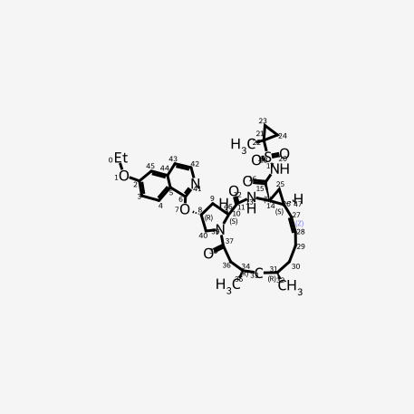 CCOc1ccc2c(O[C@@H]3C[C@H]4C(=O)N[C@]5(C(=O)NS(=O)(=O)C6(C)CC6)C[C@H]5/C=C\CC[C@@H](C)C[C@@H](C)CC(=O)N4C3)nccc2c1